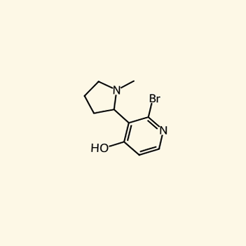 CN1CCCC1c1c(O)ccnc1Br